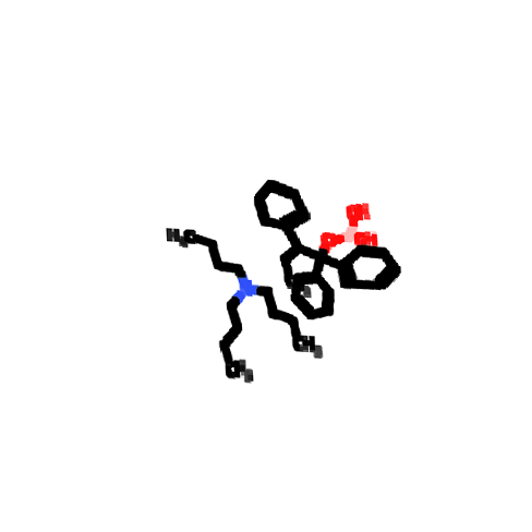 CCC(c1ccccc1)C(OB(O)O)(c1ccccc1)c1ccccc1.CCCCN(CCCC)CCCC